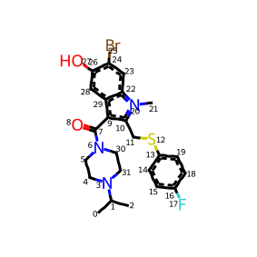 CC(C)N1CCN(C(=O)c2c(CSc3ccc(F)cc3)n(C)c3cc(Br)c(O)cc23)CC1